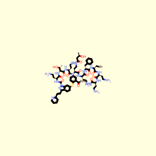 CNC(=O)c1ccccc1Sc1ccc2c(/C=C/c3ccccn3)nn(C(=O)N[C@@H](CCN)C(=O)N[C@H](C(=O)N[C@@H](CCN)C(=O)N[C@@H](CCNC(=O)C[C@@H](C)O)C(=O)N[C@@H](CCN)C(=O)N[C@H](Cc3ccccc3)C(=O)N[C@@H](CC(C)C)C(=O)N[C@@H](CCN)C(=O)N[C@@H](CCN)C(N)=O)[C@@H](C)O)c2c1